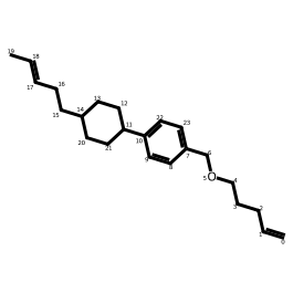 C=CCCCOCc1ccc(C2CCC(CC/C=C/C)CC2)cc1